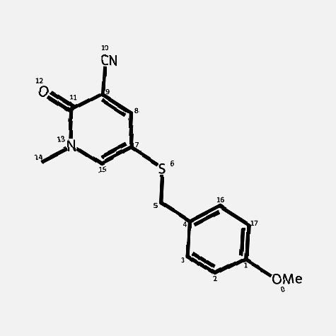 COc1ccc(CSc2cc(C#N)c(=O)n(C)c2)cc1